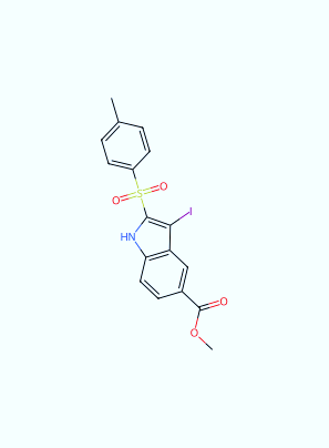 COC(=O)c1ccc2[nH]c(S(=O)(=O)c3ccc(C)cc3)c(I)c2c1